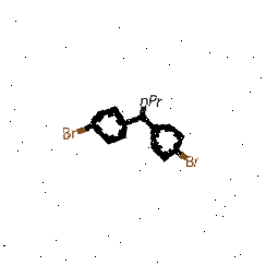 CCCC(c1ccc(Br)cc1)c1ccc(Br)cc1